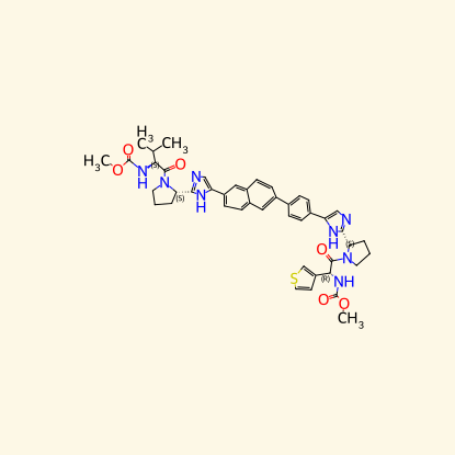 COC(=O)N[C@H](C(=O)N1CCC[C@H]1c1ncc(-c2ccc3cc(-c4ccc(-c5cnc([C@@H]6CCCN6C(=O)[C@H](NC(=O)OC)c6ccsc6)[nH]5)cc4)ccc3c2)[nH]1)C(C)C